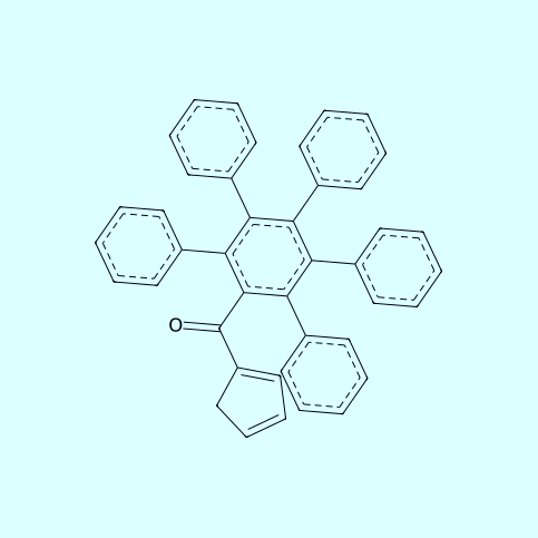 O=C(C1=CC=CC1)c1c(-c2ccccc2)c(-c2ccccc2)c(-c2ccccc2)c(-c2ccccc2)c1-c1ccccc1